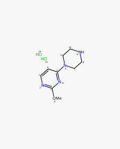 COc1nccc(N2CCNCC2)n1.Cl.Cl